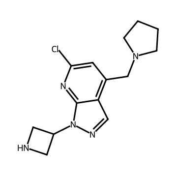 Clc1cc(CN2CCCC2)c2cnn(C3CNC3)c2n1